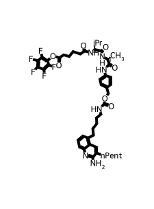 CCCCCc1cc2c(CCCCCNC(=O)OCc3ccc(NC(=O)[C@H](C)NC(=O)[C@@H](NC(=O)CCCCC(=O)Oc4c(F)c(F)c(F)c(F)c4F)C(C)C)cc3)cccc2nc1N